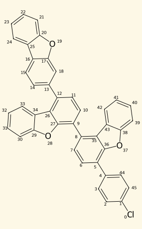 Clc1ccc(-c2ccc(-c3ccc(-c4ccc5c(c4)oc4ccccc45)c4c3oc3ccccc34)c3c2oc2ccccc23)cc1